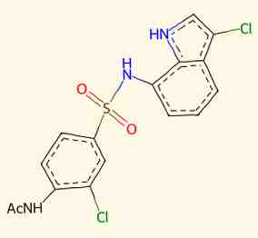 CC(=O)Nc1ccc(S(=O)(=O)Nc2cccc3c(Cl)c[nH]c23)cc1Cl